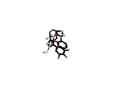 Cn1nc2c(c1-c1cc(F)c(F)c(F)c1)C[C@@H]1CCC[C@H]2N1C(=O)c1ccccc1-n1ccnn1